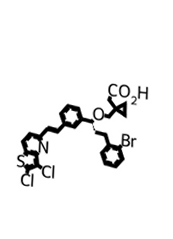 O=C(O)CC1(CO[C@H](CCc2ccccc2Br)c2cccc(C=Cc3ccc4sc(Cl)c(Cl)c4n3)c2)CC1